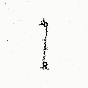 O=C(CCCCC(=O)OCCOCCOc1ccc2c(c1)C(=O)OC2=O)OCCOCCOc1ccc2c(c1)C(=O)OC2=O